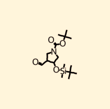 CC(C)(C)OC(=O)N1CC(C=O)C(O[Si](C)(C)C(C)(C)C)C1